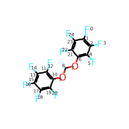 Fc1c(F)c(F)c(OCOc2c(F)c(F)c(F)c(F)c2F)c(F)c1F